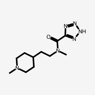 CN1CCC(CCN(C)C(=O)c2nn[nH]n2)CC1